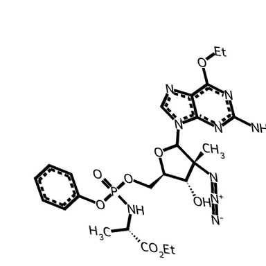 CCOC(=O)[C@H](C)NP(=O)(OC[C@H]1OC(n2cnc3c(OCC)nc(N)nc32)[C@](C)(N=[N+]=[N-])[C@@H]1O)Oc1ccccc1